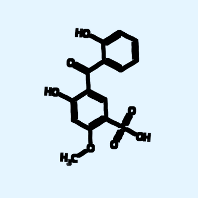 COc1cc(O)c(C(=O)c2ccccc2O)cc1S(=O)(=O)O